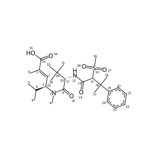 CC(=C[C@H](C(C)C)N(C)C(=O)[C@@H](NC(=O)C(C(C)(C)c1ccccc1)S(C)(=O)=O)C(C)(C)C)C(=O)O